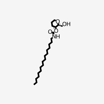 CCCCCCCCCCCCCCCCCNC(=O)O[C@H]1CCCO[C@H]1CO